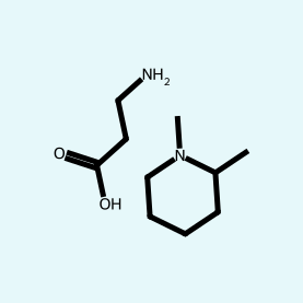 CC1CCCCN1C.NCCC(=O)O